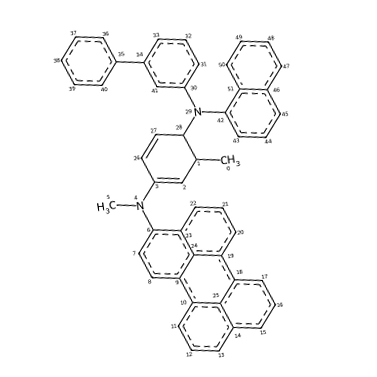 CC1C=C(N(C)c2ccc3c4cccc5cccc(c6cccc2c63)c54)C=CC1N(c1cccc(-c2ccccc2)c1)c1cccc2ccccc12